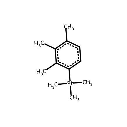 Cc1cc[c]([Pt]([CH3])([CH3])[CH3])c(C)c1C